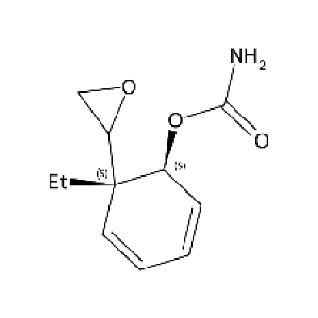 CC[C@]1(C2CO2)C=CC=C[C@@H]1OC(N)=O